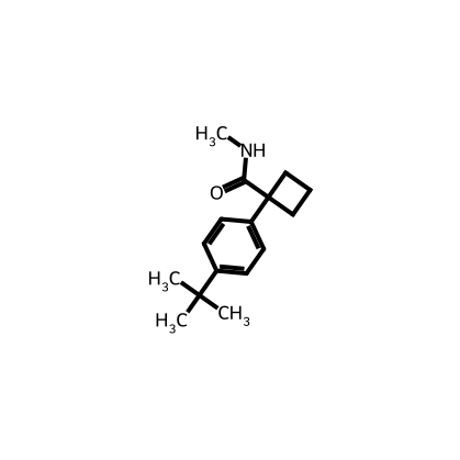 CNC(=O)C1(c2ccc(C(C)(C)C)cc2)CCC1